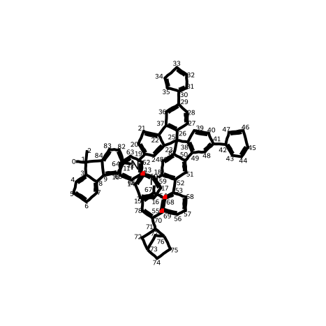 CC1(C)c2ccccc2-c2cc(N(c3ccccc3)c3ccc4c(c3)C3(c5ccc(-c6ccccc6)cc5-4)c4ccc(-c5ccccc5)cc4-c4cc(-c5ccccc5)c(N(c5ccccc5)c5ccc(C6CC7CCC6C7)cc5)cc43)ccc21